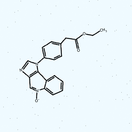 CCOC(=O)Cc1ccc(-n2cnc3c[n+]([O-])c4ccccc4c32)cc1